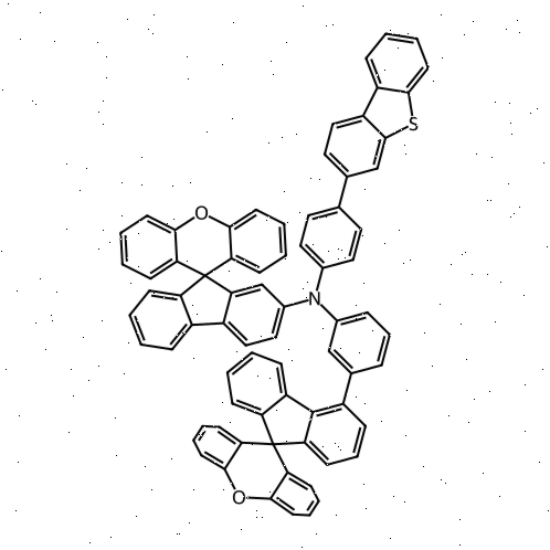 c1cc(-c2cccc3c2-c2ccccc2C32c3ccccc3Oc3ccccc32)cc(N(c2ccc(-c3ccc4c(c3)sc3ccccc34)cc2)c2ccc3c(c2)C2(c4ccccc4Oc4ccccc42)c2ccccc2-3)c1